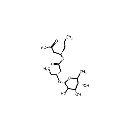 CCC[C@H](CC(=O)O)OC(=O)C[C@@H](CC)O[C@@H]1OC(C)[C@H](O)[C@H](O)C1O